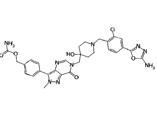 Cn1nc2c(=O)n(CC3(O)CCN(Cc4ccc(-c5nnc(N)o5)cc4Cl)CC3)cnc2c1-c1ccc(COC(N)=O)cc1